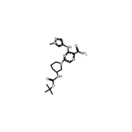 Cn1cc(Nc2nc(N3CCCC(NC(=O)OC(C)(C)C)C3)cnc2C(N)=O)cn1